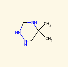 CC1(C)CNNCN1